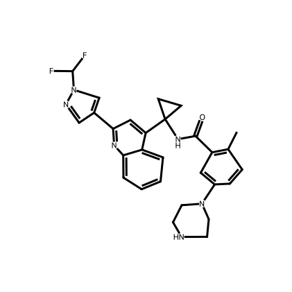 Cc1ccc(N2CCNCC2)cc1C(=O)NC1(c2cc(-c3cnn(C(F)F)c3)nc3ccccc23)CC1